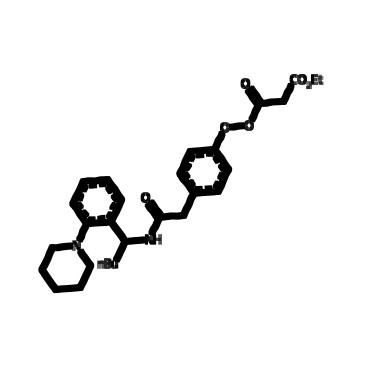 CCCCC(NC(=O)Cc1ccc(OOC(=O)CC(=O)OCC)cc1)c1ccccc1N1CCCCC1